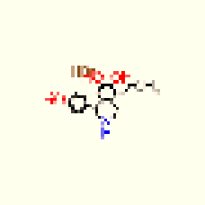 Br.CCCc1c(O)c(O)cc2c1CCNCC2c1ccc(O)cc1